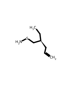 C=CC[C@H](CC)CSN